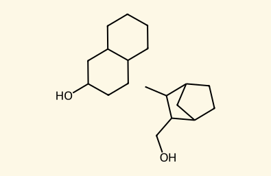 CC1C2CCC(C2)C1CO.OC1CCC2CCCCC2C1